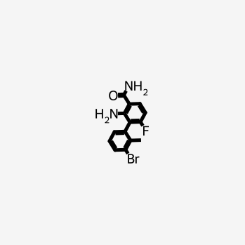 Cc1c(Br)cccc1-c1c(F)ccc(C(N)=O)c1N